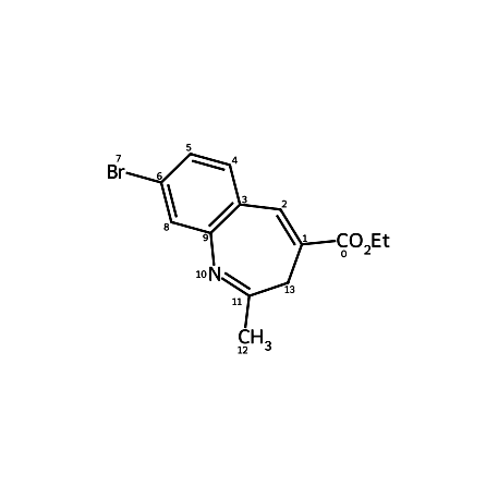 CCOC(=O)C1=Cc2ccc(Br)cc2N=C(C)C1